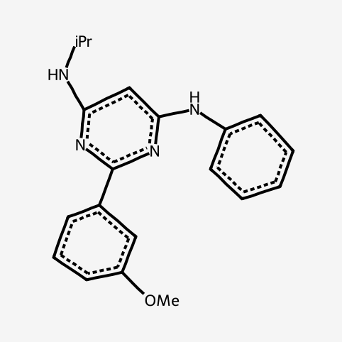 COc1cccc(-c2nc(Nc3ccccc3)cc(NC(C)C)n2)c1